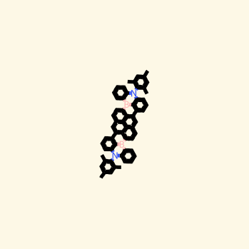 Cc1cc(C)c(N2c3ccccc3B3c4c(cccc42)-c2cc4ccc5c6c(cc7ccc3c2c7c46)-c2cccc3c2B5c2ccccc2N3c2c(C)cc(C)cc2C)c(C)c1